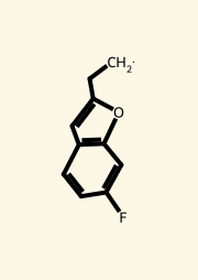 [CH2]Cc1cc2ccc(F)cc2o1